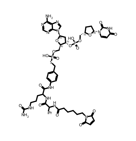 CC(C)C(NC(=O)CCCCCN1C(=O)C=CC1=O)C(=O)NC(CCCNC(N)=O)C(=O)Nc1ccc(CSP(=O)(O)OC[C@H]2O[C@@H](n3cnc4c(N)ncnc43)C[C@@H]2OP(=O)(O)OC[C@@H]2CC[C@H](n3ccc(=O)[nH]c3=O)O2)cc1